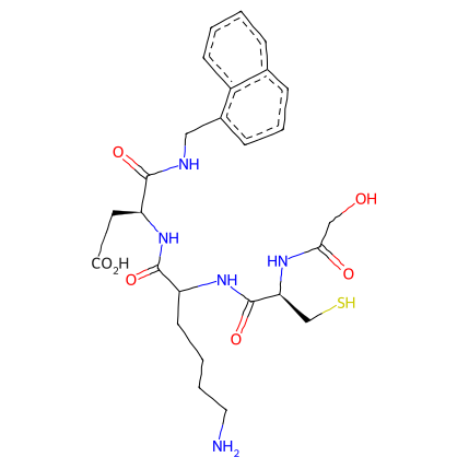 NCCCCC(NC(=O)[C@H](CS)NC(=O)CO)C(=O)N[C@@H](CC(=O)O)C(=O)NCc1cccc2ccccc12